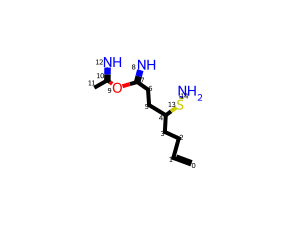 C=CCCC(CCC(=N)OC(C)=N)SN